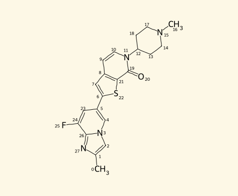 Cc1cn2cc(-c3cc4ccn(C5CCN(C)CC5)c(=O)c4s3)cc(F)c2n1